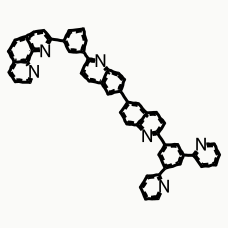 c1ccc(-c2cc(-c3ccccn3)cc(-c3ccc4cc(-c5ccc6nc(-c7cccc(-c8ccc9ccc%10cccnc%10c9n8)c7)ccc6c5)ccc4n3)c2)nc1